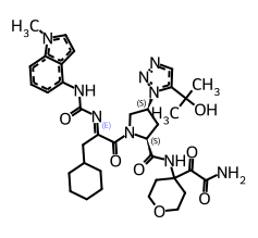 Cn1ccc2c(NC(=O)/N=C(\CC3CCCCC3)C(=O)N3C[C@@H](n4nncc4C(C)(C)O)C[C@H]3C(=O)NC3(C(=O)C(N)=O)CCOCC3)cccc21